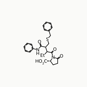 CCC(C(=O)N1C(=O)CC[C@H]1C(=O)O)C(CSCc1ccccc1)C(=O)Nc1ccccc1